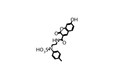 Cc1ccc(N(CCNC(=O)c2cc3ccc(O)cc3oc2=O)S(=O)(=O)O)cc1